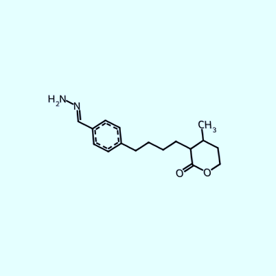 CC1CCOC(=O)C1CCCCc1ccc(C=NN)cc1